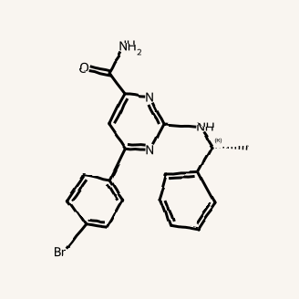 C[C@@H](Nc1nc(C(N)=O)cc(-c2ccc(Br)cc2)n1)c1ccccc1